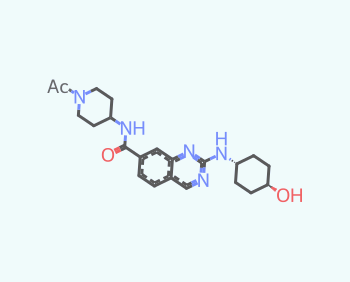 CC(=O)N1CCC(NC(=O)c2ccc3cnc(N[C@H]4CC[C@H](O)CC4)nc3c2)CC1